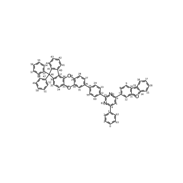 c1ccc(-c2cc(-c3ccc4c(c3)oc3ccccc34)nc(-c3ccc(-c4ccc5c(c4)Oc4ccc6c(c4O5)-c4ccccc4C6(c4ccccc4)c4ccccc4)cc3)n2)cc1